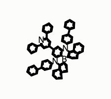 c1ccc(-c2ccc(N3c4cc(-c5cc(-c6ccccc6)nc(-c6ccccc6)c5)cc5c4B(c4ccc6ccccc6c43)c3ccc4ccccc4c3N5c3ccc(-c4ccccc4)cc3)cc2)cc1